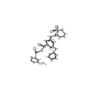 Cc1ccnc(C(=O)CC(=O)c2cc(Cc3ccccc3)cc(CN3CCCCS3(=O)=O)c2)c1